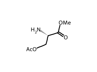 COC(=O)[C@@H](N)COC(C)=O